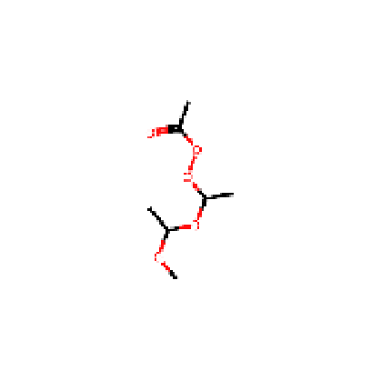 COC(C)OC(C)OOC(C)=O